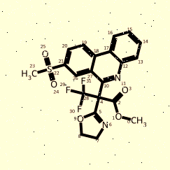 COC(=O)C(C1=NCCO1)(c1nc2ccccc2c2ccc(S(C)(=O)=O)cc12)C(F)(F)F